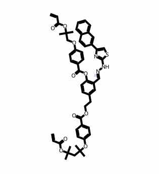 C=CC(=O)OC(C)(C)COc1ccc(C(=O)Oc2ccc(CCOC(=O)c3ccc(OC(C)(C)CC(C)(C)OC(=O)C=C)cc3)cc2/C=N/Nc2nc(-c3ccc4ccccc4c3)cs2)cc1